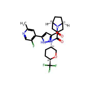 Cc1cc(-c2cc(C(=O)N3[C@@H]4CC[C@H]3CC(C(=O)N[C@H]3CC[C@H](C(F)(F)F)OC3)C4)n[nH]2)c(F)cn1